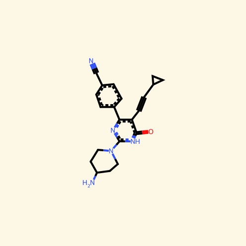 N#Cc1ccc(-c2nc(N3CCC(N)CC3)[nH]c(=O)c2C#CC2CC2)cc1